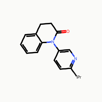 CC(C)c1ccc(N2C(=O)CCc3ccccc32)cn1